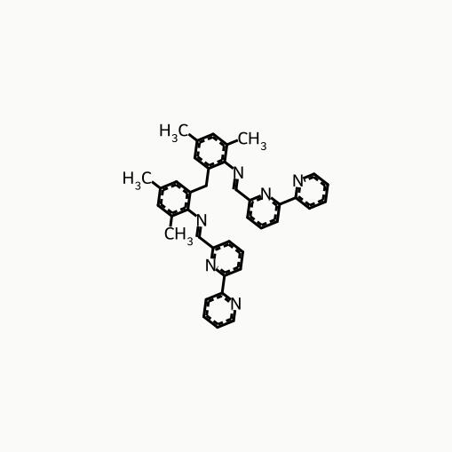 Cc1cc(C)c(N=Cc2cccc(-c3ccccn3)n2)c(Cc2cc(C)cc(C)c2N=Cc2cccc(-c3ccccn3)n2)c1